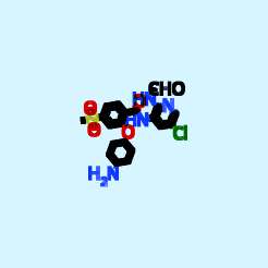 CS(=O)(=O)c1ccc(C(=O)Nc2cc(Cl)cnc2NC=O)c(O[C@H]2CC[C@@H](N)CC2)c1